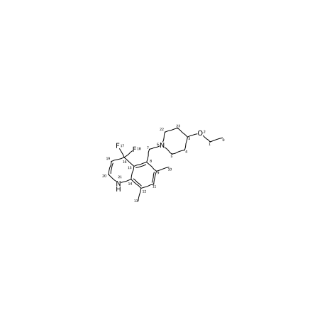 CCOC1CCN(Cc2c(C)cc(C)c3c2C(F)(F)C=CN3)CC1